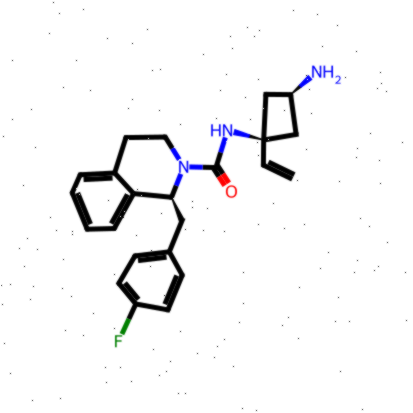 C=C[C@]1(NC(=O)N2CCc3ccccc3[C@@H]2Cc2ccc(F)cc2)C[C@@H](N)C1